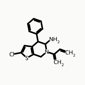 C=CC(=C)N1Cc2sc(Cl)cc2C(c2ccccc2)C1N